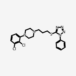 Clc1cccc(N2CCN(CCCSc3nnnn3-c3ccccc3)CC2)c1Cl